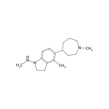 CNN1CCc2c1ccc(C1CCCN(C)CC1)c2C